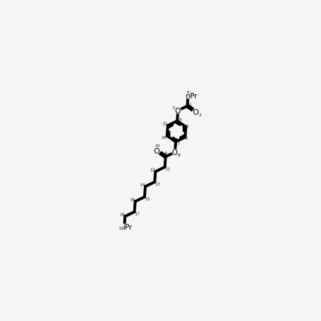 CCCC(=O)Oc1ccc(OC(=O)CCCCCCCCC(C)C)cc1